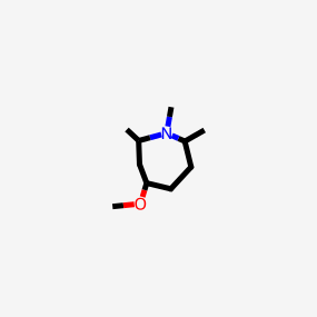 COC1CCC(C)N(C)C(C)C1